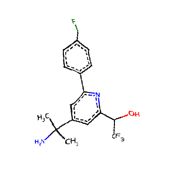 CC(C)(N)c1cc(-c2ccc(F)cc2)nc(C(O)C(F)(F)F)c1